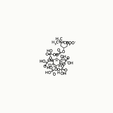 C[N+](C)(C)CC(CC(=O)[O-])OP(=O)(O)O[C@@H]1[C@@H](OP(=O)(O)O)[C@H](OP(=O)(O)O)[C@@H](OP(=O)(O)O)[C@H](OP(=O)(O)O)[C@@H]1OP(=O)(O)O